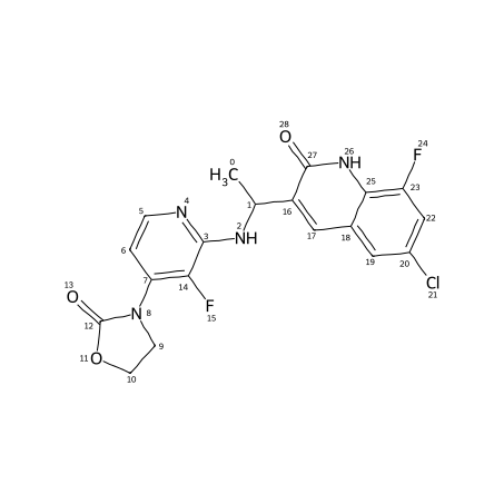 CC(Nc1nccc(N2CCOC2=O)c1F)c1cc2cc(Cl)cc(F)c2[nH]c1=O